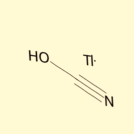 N#CO.[Tl]